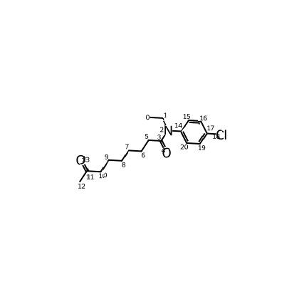 CCN(C(=O)CCCCCCC(C)=O)c1ccc(Cl)cc1